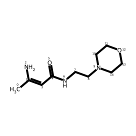 CC(N)=CC(=O)NCCN1CCOCC1